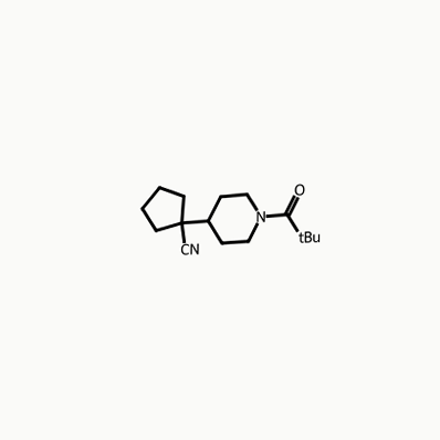 CC(C)(C)C(=O)N1CCC(C2(C#N)CCCC2)CC1